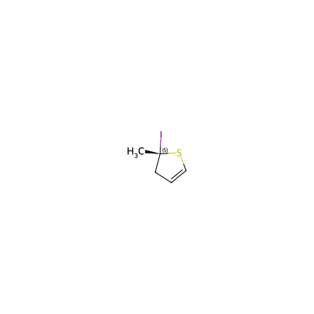 C[C@]1(I)CC=CS1